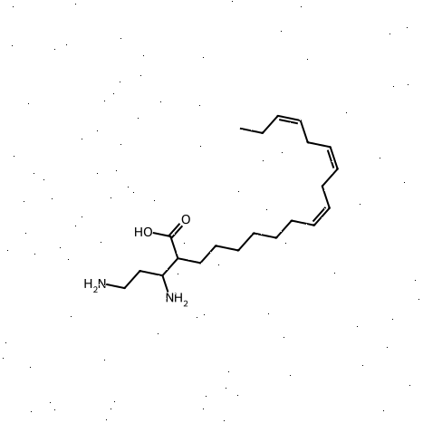 CC/C=C\C/C=C\C/C=C\CCCCCCC(C(=O)O)C(N)CCN